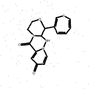 O=C1c2cc(=O)ccn2NC2C(C3=CSC=CC=C3)OCCN12